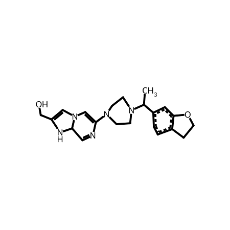 CC(c1ccc2c(c1)OCC2)N1CCN(C2=CN3C=C(CO)NC3C=N2)CC1